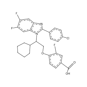 O=C(O)c1ccc(OCC(C2CCCCC2)n2c(-c3ccc(Cl)cc3)nc3cc(F)c(F)cc32)c(F)c1